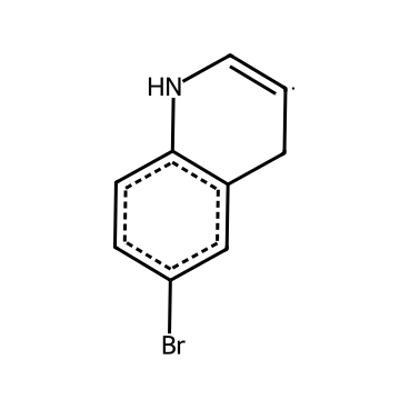 Brc1ccc2c(c1)C[C]=CN2